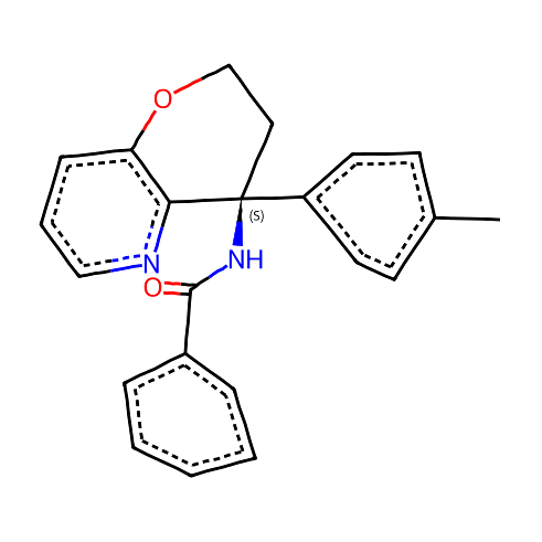 Cc1ccc([C@@]2(NC(=O)c3ccccc3)CCOc3cccnc32)cc1